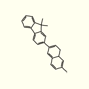 CC1(C)c2ccccc2-c2ccc(C3=CCC4C=C(I)C=CC4=C3)cc21